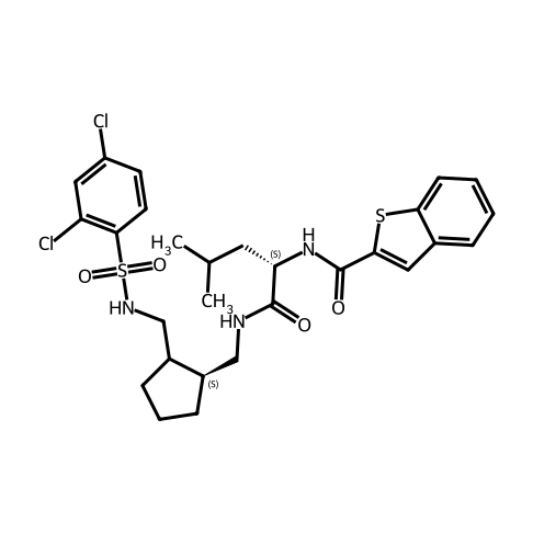 CC(C)C[C@H](NC(=O)c1cc2ccccc2s1)C(=O)NC[C@H]1CCCC1CNS(=O)(=O)c1ccc(Cl)cc1Cl